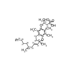 Cc1c(C)c2c(c(C)c1OC(C)CP(=O)(O)O)CCC(C)(C=CCC(C)CCCC(C)C)O2